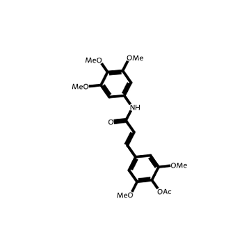 COc1cc(NC(=O)C=Cc2cc(OC)c(OC(C)=O)c(OC)c2)cc(OC)c1OC